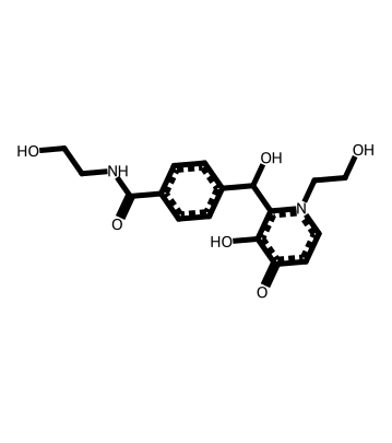 O=C(NCCO)c1ccc(C(O)c2c(O)c(=O)ccn2CCO)cc1